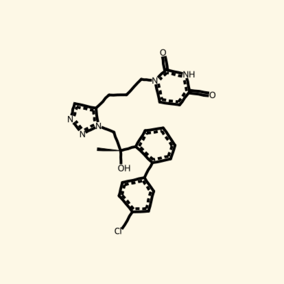 C[C@@](O)(Cn1nncc1CCCn1ccc(=O)[nH]c1=O)c1ccccc1-c1ccc(Cl)cc1